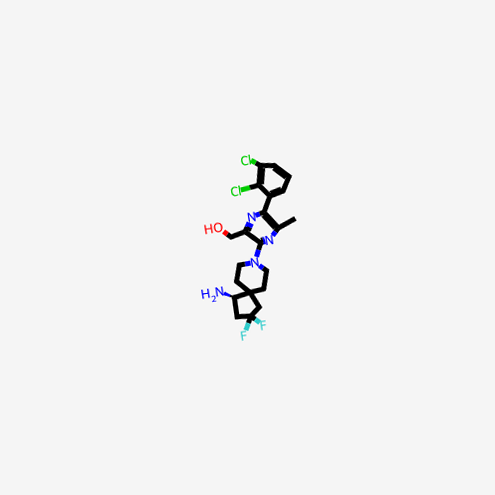 Cc1nc(N2CCC3(CC2)CC(F)(F)C[C@H]3N)c(CO)nc1-c1cccc(Cl)c1Cl